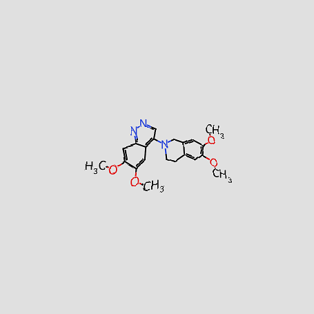 COc1cc2c(cc1OC)CN(c1cnnc3cc(OC)c(OC)cc13)CC2